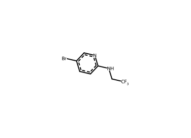 FC(F)(F)CNc1ccc(Br)cn1